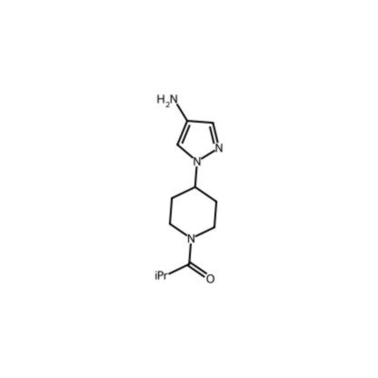 CC(C)C(=O)N1CCC(n2cc(N)cn2)CC1